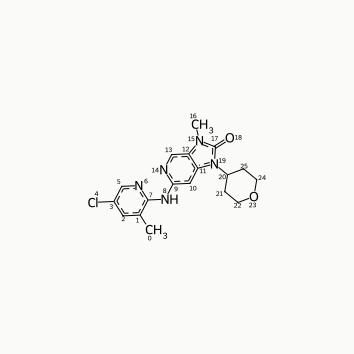 Cc1cc(Cl)cnc1Nc1cc2c(cn1)n(C)c(=O)n2C1CCOCC1